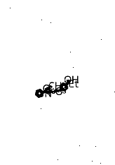 CCC(O)c1ccc(OCCc2nc(-c3ccccc3)oc2C)cc1